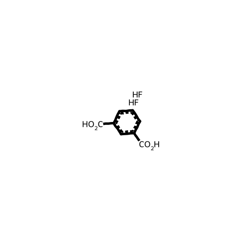 F.F.O=C(O)c1cccc(C(=O)O)c1